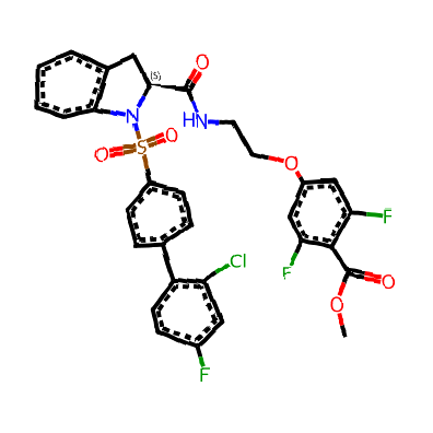 COC(=O)c1c(F)cc(OCCNC(=O)[C@@H]2Cc3ccccc3N2S(=O)(=O)c2ccc(-c3ccc(F)cc3Cl)cc2)cc1F